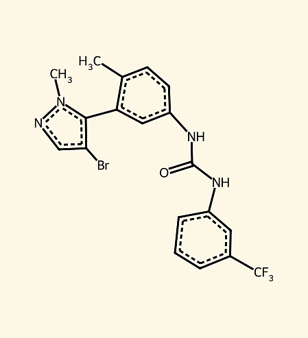 Cc1ccc(NC(=O)Nc2cccc(C(F)(F)F)c2)cc1-c1c(Br)cnn1C